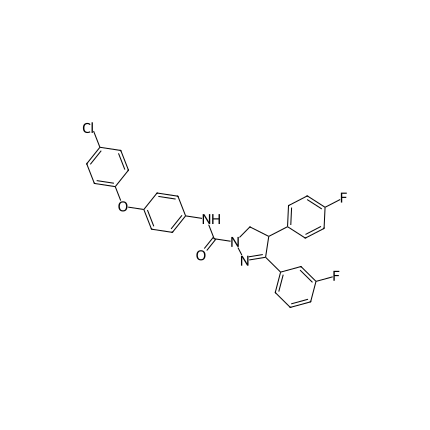 O=C(Nc1ccc(Oc2ccc(Cl)cc2)cc1)N1CC(c2ccc(F)cc2)C(c2cccc(F)c2)=N1